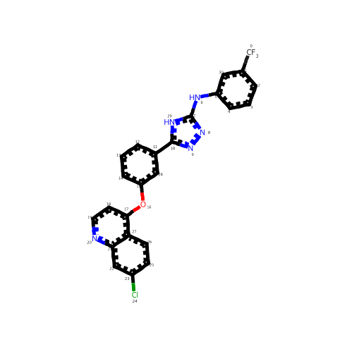 FC(F)(F)c1cccc(Nc2nnc(-c3cccc(Oc4ccnc5cc(Cl)ccc45)c3)[nH]2)c1